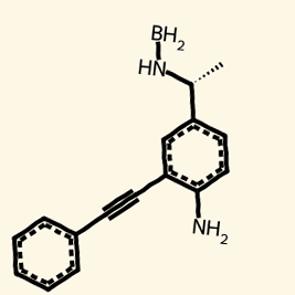 BN[C@H](C)c1ccc(N)c(C#Cc2ccccc2)c1